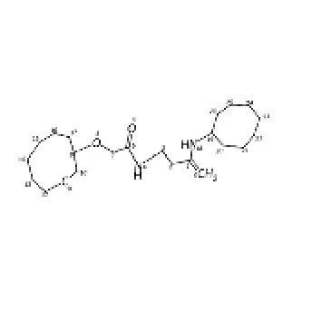 C=C(CCNC(=O)COC1CCCCCCCC1)NC1CCCCCCC1